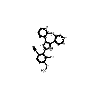 COc1ccc(C#N)c(-c2nc3c([nH]2)-c2ccncc2Nc2ncccc2-3)c1F